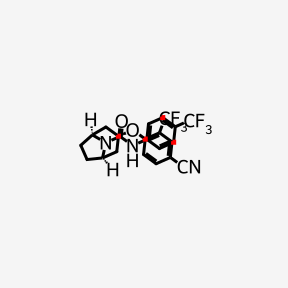 N#Cc1ccc(O[C@H]2C[C@H]3CC[C@@H](C2)N3C(=O)Nc2ccc(C(F)(F)F)cc2)c(C(F)(F)F)c1